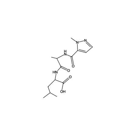 CC(C)CC(NC(=O)C(C)NC(=O)c1ccnn1C)C(=O)O